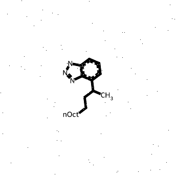 CCCCCCCCCCC(C)c1cccc2c1N=N[N]2